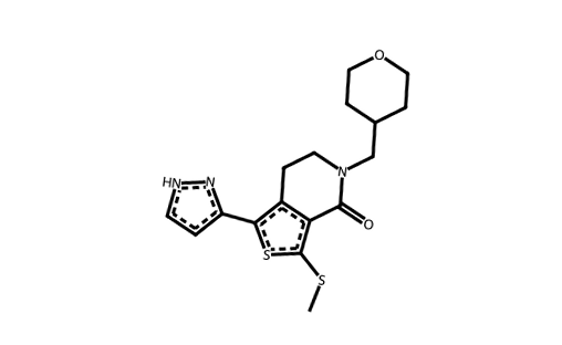 CSc1sc(-c2cc[nH]n2)c2c1C(=O)N(CC1CCOCC1)CC2